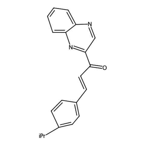 CC(C)c1ccc(C=CC(=O)c2cnc3ccccc3n2)cc1